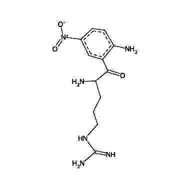 N=C(N)NCCCC(N)C(=O)c1cc([N+](=O)[O-])ccc1N